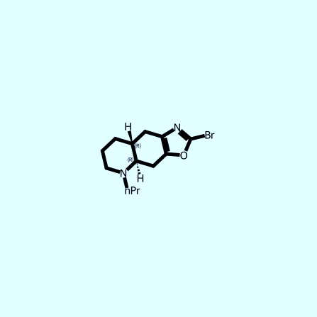 CCCN1CCC[C@@H]2Cc3nc(Br)oc3C[C@H]21